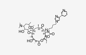 CC[C@H]1OC(=O)[C@H](C)[C@@H](O)[C@H](C)[C@@H](OC2OC(C)CC(N(C)C)C2O)[C@](C)(OC)C[C@@H](C)C(=O)[C@H](C)[C@H]2N(CCCCn3cnc(-c4cccnc4)c3)C(=O)O[C@]12C